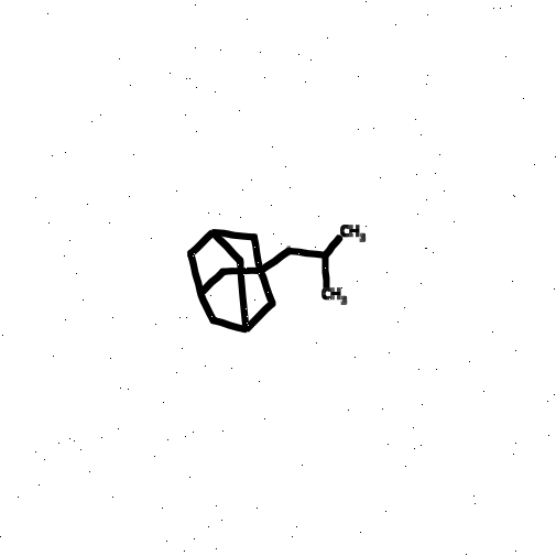 CC(C)[CH]C12CC3CC(CC(C3)C1)C2